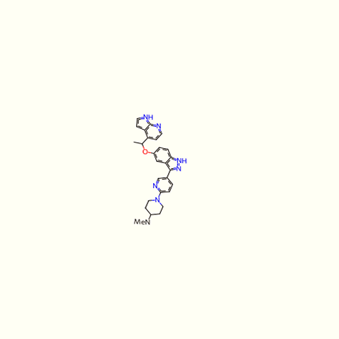 CNC1CCN(c2ccc(-c3n[nH]c4ccc(OC(C)c5ccnc6[nH]ccc56)cc34)cn2)CC1